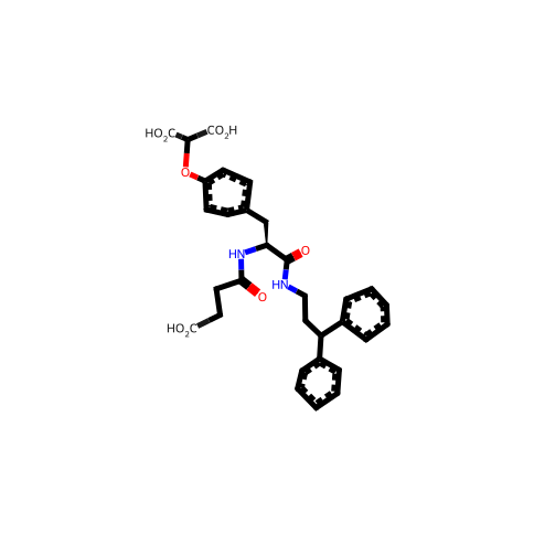 O=C(O)CCC(=O)N[C@@H](Cc1ccc(OC(C(=O)O)C(=O)O)cc1)C(=O)NCCC(c1ccccc1)c1ccccc1